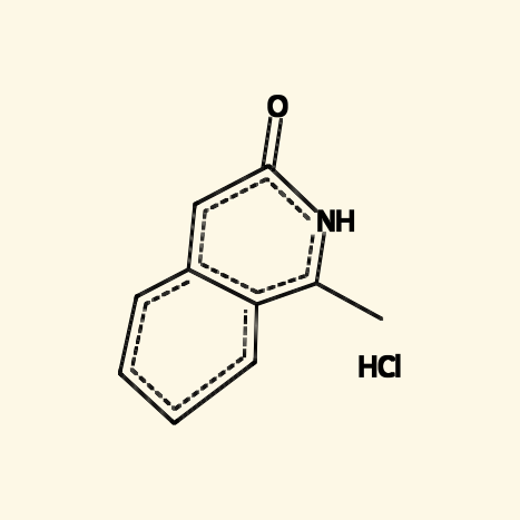 Cc1[nH]c(=O)cc2ccccc12.Cl